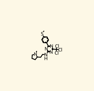 CSc1ccc(-c2nc(NCCC3CCCN3C)nc(C(Cl)(Cl)Cl)n2)cc1